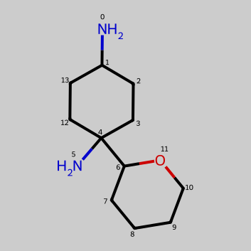 NC1CCC(N)(C2CCCCO2)CC1